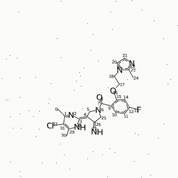 CC1=N/C(=C2\CN(C(=O)c3ccc(F)cc3OCCn3ccnc3C)CC2=N)NC(C)=C1Cl